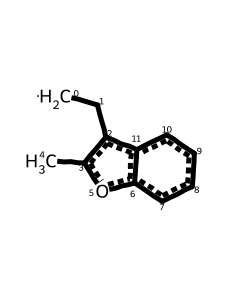 [CH2]Cc1c(C)oc2ccccc12